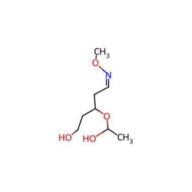 CO/N=C\CC(CCO)OC(C)O